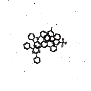 Cc1ccc2c(c1)c1cc(C(F)(F)F)ccc1n2-c1c(-c2ccccc2-n2c3ccccc3c3ccccc32)cc(-c2nc(-c3ccccc3)nc(-c3ccccc3)n2)cc1-c1ccccc1-n1c2ccccc2c2ccccc21